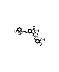 COc1ccc(CN/C=C2\C(=O)NC(=O)c3ccc(/C=C/Cc4cccc(OC)c4O)cc32)cc1O